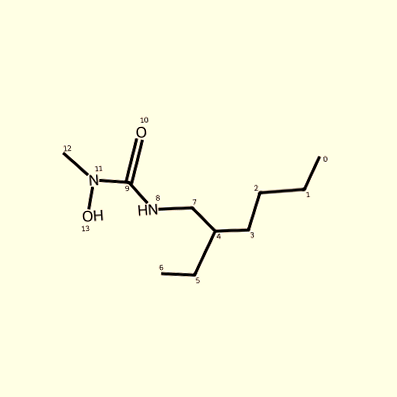 CCCCC(CC)CNC(=O)N(C)O